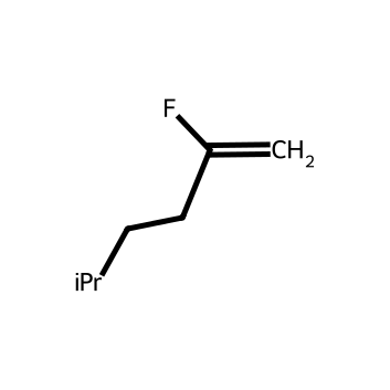 C=C(F)CCC(C)C